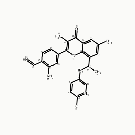 Cc1cc([C@@H](C)Nc2ccc(Cl)nc2)c2oc(-c3ccc(C=N)c(N)c3)c(C)c(=O)c2c1